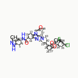 Cc1n[nH]c2ccc(NC(=O)c3ccc4c(c3)nc(CN3CC=C(c5cccc6c5OC(C)(c5ccc(Cl)cc5F)O6)CC3)n4CC3CCO3)cc12